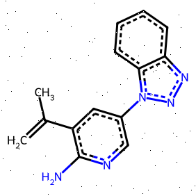 C=C(C)c1cc(-n2nnc3ccccc32)cnc1N